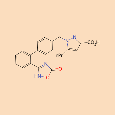 CCCc1cc(C(=O)O)nn1Cc1ccc(-c2ccccc2-c2nc(=O)o[nH]2)cc1